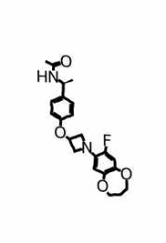 CC(=O)N[C@@H](C)c1ccc(OC2CN(c3cc4c(cc3F)OCCCO4)C2)cc1